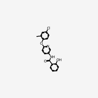 Cc1cc(Cl)ccc1Oc1ccc(NC(=O)c2ccccc2O)cn1